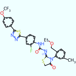 CCOCc1ccc(C)cc1N1C(=O)CS/C1=N\C(=O)Nc1ccc(-c2nnc(-c3ccc(OC(F)(F)F)cc3)s2)cc1F